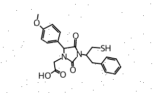 COc1ccc(C2C(=O)N(C(CS)Cc3ccccc3)C(=O)N2CC(=O)O)cc1